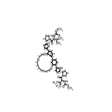 COC(=O)N[C@H](C(=O)N1CCC[C@H]1c1ncc(-c2ccc3cc2OCCOCCCCOCCOc2cc-3ccc2-c2cnc([C@@H]3CCCN3C(=O)[C@@H](NC(=O)OC)C(C)C)[nH]2)[nH]1)C(C)C